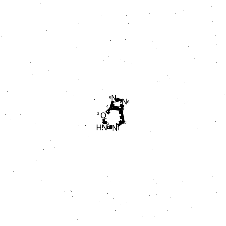 [c]1n[nH]oc2nnc1=2